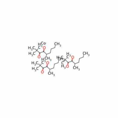 CCCCC(C)C(=O)C(=O)C(C)(C)C.CCCCC(C)C(=O)C(=O)C(C)(C)C.CCCCC(C)C(=O)C(=O)C(C)(C)C.[Co]